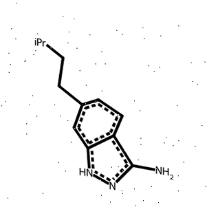 CC(C)CCc1ccc2c(N)n[nH]c2c1